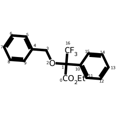 CCOC(=O)C(OCc1ccccc1)(c1ccccc1)C(F)(F)F